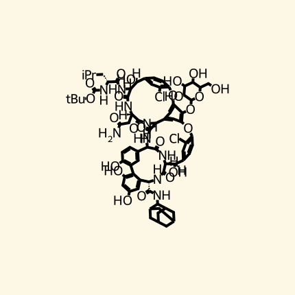 CC(C)C[C@@H](NC(=O)OC(C)(C)C)C(=O)N[C@H]1C(=O)N[C@@H](CC(N)=O)C(=O)N[C@H]2C(=O)N[C@H]3C(=O)N[C@H](C(=O)N[C@H](C(=O)NC4C5CC6CC(C5)CC4C6)c4cc(O)cc(O)c4-c4cc3ccc4O)[C@H](O)c3ccc(c(Cl)c3)Oc3cc2cc(c3OC2OC(CO)C(O)C(O)C2O)Oc2ccc(cc2Cl)[C@H]1O